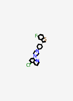 Fc1ccc2scc([C@H]3CC[C@@H](N4CCN(c5ccc(Cl)c6cccnc56)CC4)CC3)c2c1